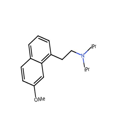 COc1ccc2cccc(CCN(C(C)C)C(C)C)c2c1